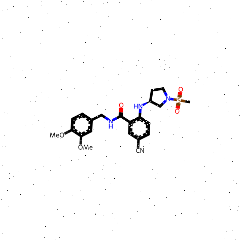 COc1ccc(CNC(=O)c2cc(C#N)ccc2N[C@H]2CCN(S(C)(=O)=O)C2)cc1OC